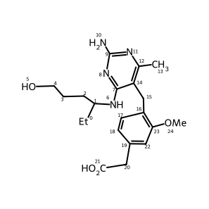 CCC(CCCO)Nc1nc(N)nc(C)c1Cc1ccc(CC(=O)O)cc1OC